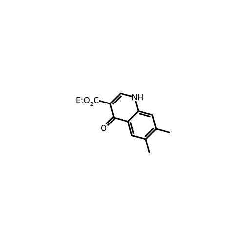 CCOC(=O)c1c[nH]c2cc(C)c(C)cc2c1=O